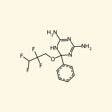 NC1=NC(OCC(F)(F)C(F)F)(c2ccccc2)NC(N)=N1